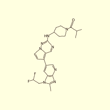 Cc1nc2ncc(-c3ccn4nc(NC5CCN(C(=O)C(C)C)CC5)ncc34)cc2n1CC(F)F